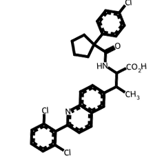 CC(c1ccc2nc(-c3c(Cl)cccc3Cl)ccc2c1)C(NC(=O)C1(c2ccc(Cl)cc2)CCCC1)C(=O)O